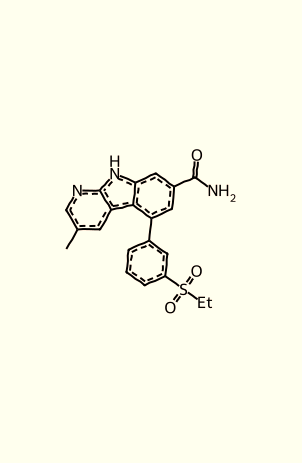 CCS(=O)(=O)c1cccc(-c2cc(C(N)=O)cc3[nH]c4ncc(C)cc4c23)c1